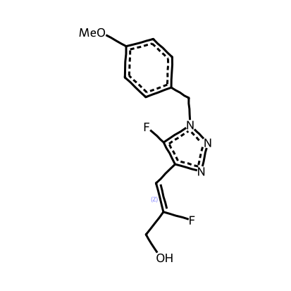 COc1ccc(Cn2nnc(/C=C(\F)CO)c2F)cc1